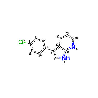 Clc1ccc(-c2c[nH]c3ncccc23)cc1